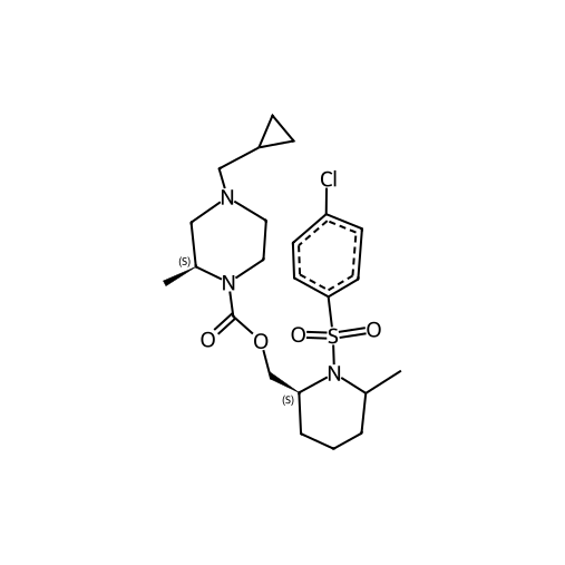 CC1CCC[C@@H](COC(=O)N2CCN(CC3CC3)C[C@@H]2C)N1S(=O)(=O)c1ccc(Cl)cc1